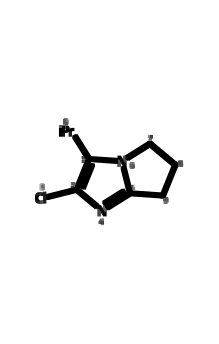 CC(C)c1c(Cl)nc2n1CCC2